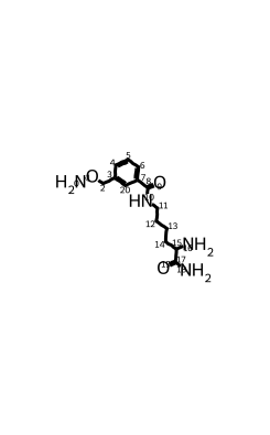 NOCc1cccc(C(=O)NCCCCC(N)C(N)=O)c1